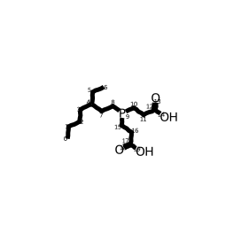 CCCCC(CC)CCP(CCC(=O)O)CCC(=O)O